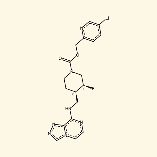 O=C(OCc1ccc(Cl)cn1)N1CC[C@H](CNc2nccn3cnnc23)[C@H](F)C1